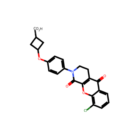 O=C(O)C1CC(Oc2ccc(N3CCc4c(oc5c(Cl)cccc5c4=O)C3=O)cc2)C1